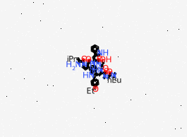 CCCCC(C(=O)N(C)C)N(C)C(=O)C(Cc1c(-c2ccc(OCC)cc2)[nH]c2ccccc12)NC(=O)C(CO)NC(=O)C(Cc1c[nH]c2ccccc12)NC(=O)C1CCCN1C(=O)C(N)CC(C)C